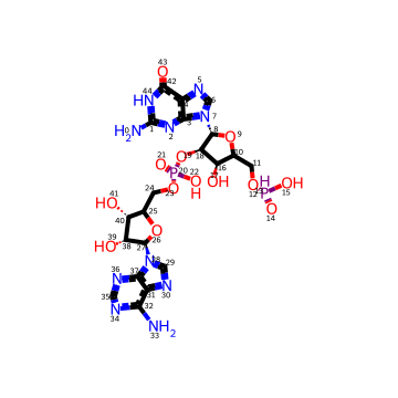 Nc1nc2c(ncn2[C@@H]2OC(CO[PH](=O)O)[C@@H](O)[C@H]2OP(=O)(O)OCC2O[C@@H](n3cnc4c(N)ncnc43)[C@H](O)[C@@H]2O)c(=O)[nH]1